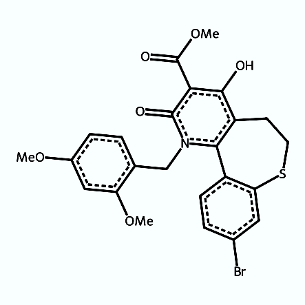 COC(=O)c1c(O)c2c(n(Cc3ccc(OC)cc3OC)c1=O)-c1ccc(Br)cc1SCC2